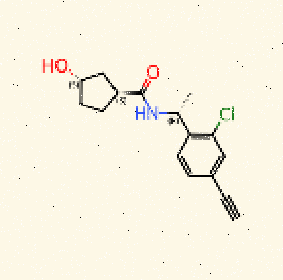 C#Cc1ccc([C@@H](C)NC(=O)[C@H]2CC[C@H](O)C2)c(Cl)c1